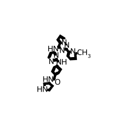 Cc1cccc(-c2nc(Nc3ccnc(Nc4ccc(C(=O)NC5CCNC5)cc4)n3)c3cccn3n2)n1